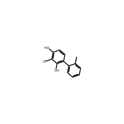 Cc1ccccc1-c1ccc(O)c(Cl)c1O